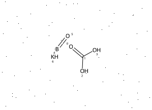 O=C(O)O.[B]=O.[KH]